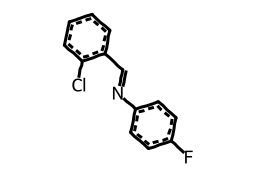 Fc1ccc(N=Cc2ccccc2Cl)cc1